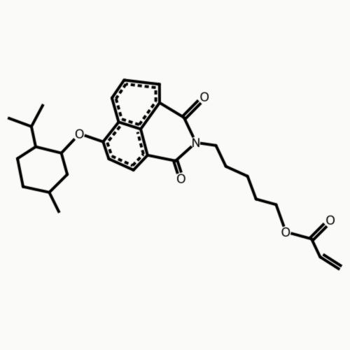 C=CC(=O)OCCCCCN1C(=O)c2cccc3c(OC4CC(C)CCC4C(C)C)ccc(c23)C1=O